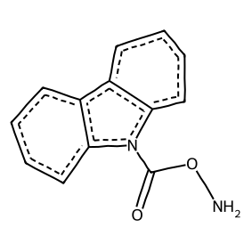 NOC(=O)n1c2ccccc2c2ccccc21